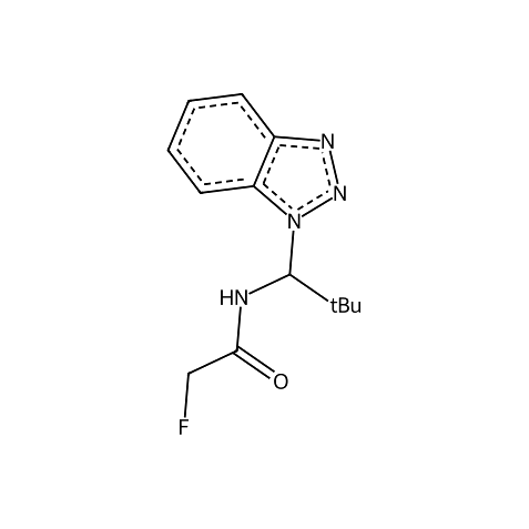 CC(C)(C)C(NC(=O)CF)n1nnc2ccccc21